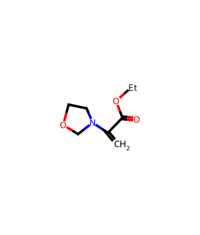 C=C(C(=O)OCC)N1CCOC1